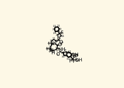 O=C(N[C@H]1C[C@@H]2C[C@@H]2C[C@H]2CC[C@@H](C(=O)N3CC(F)(c4ccccc4)C3)N2C1=O)c1cc2cc(C(F)(F)P(=O)(O)O)ccc2s1